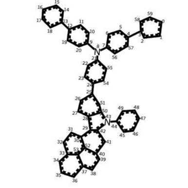 c1ccc(-c2ccc(N(c3ccc(-c4ccccc4)cc3)c3ccc(-c4ccc5c6c7ccc8cccc9ccc(cc6n(-c6ccccc6)c5c4)c7c98)cc3)cc2)cc1